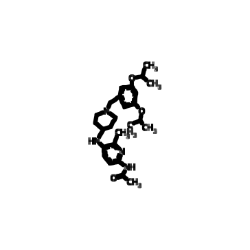 CC(=O)Nc1ccc(NC2CCN(Cc3cc(OC(C)C)cc(OC(C)C)c3)CC2)c(C)n1